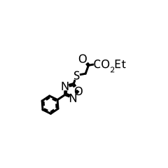 CCOC(=O)C(=O)CSc1nc(-c2ccccc2)no1